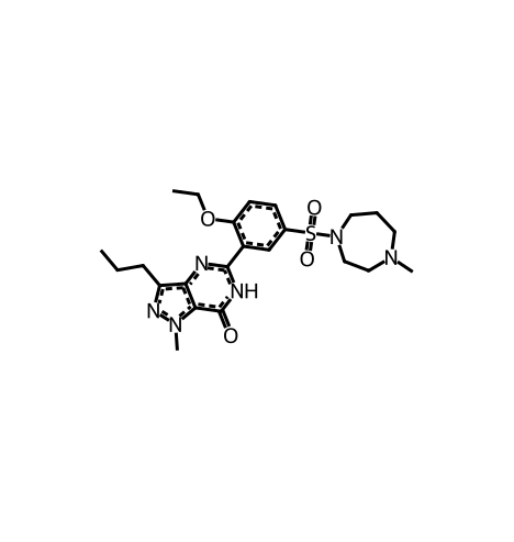 CCCc1nn(C)c2c(=O)[nH]c(-c3cc(S(=O)(=O)N4CCCN(C)CC4)ccc3OCC)nc12